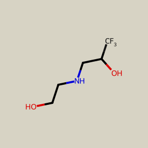 OCCNCC(O)C(F)(F)F